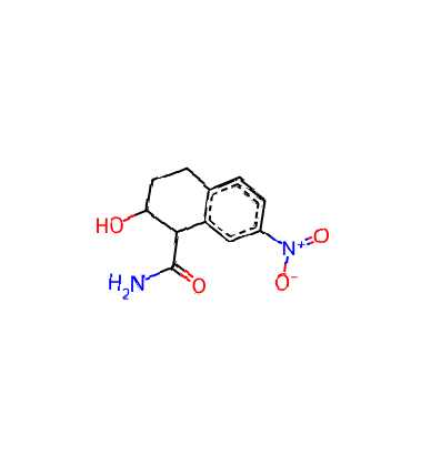 NC(=O)C1c2cc([N+](=O)[O-])ccc2CCC1O